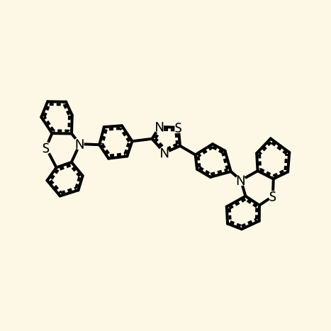 c1ccc2c(c1)Sc1ccccc1N2c1ccc(-c2nsc(-c3ccc(N4c5ccccc5Sc5ccccc54)cc3)n2)cc1